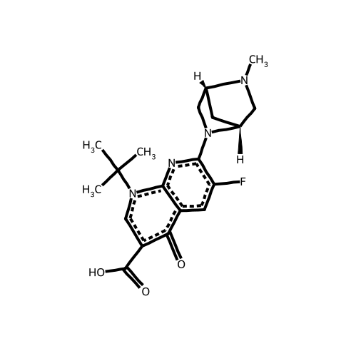 CN1C[C@H]2C[C@@H]1CN2c1nc2c(cc1F)c(=O)c(C(=O)O)cn2C(C)(C)C